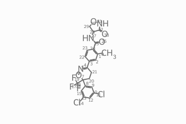 Cc1cc(C2=NOC(c3cc(Cl)cc(Cl)c3)(C(F)(F)F)CC2)ccc1C(=O)NC1CONC1=O